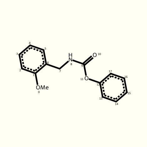 COc1ccccc1CNC(=O)Oc1ccccc1